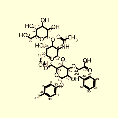 CC(=O)NC1C(O[C@@H]2OC(CO)[C@H](O)C(O)C2O)[C@@H](O)[C@@H](CO)O[C@H]1O[C@H]1C(CO)O[C@@H](Oc2ccc(I)cc2)C(O)C1O[C@@H](Cc1ccccc1)C(=O)O